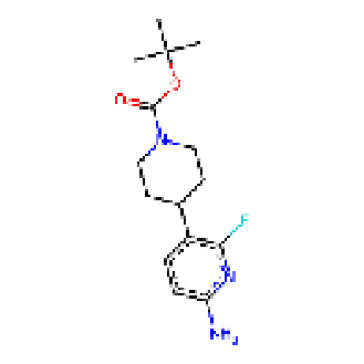 CC(C)(C)OC(=O)N1CCC(c2ccc(N)nc2F)CC1